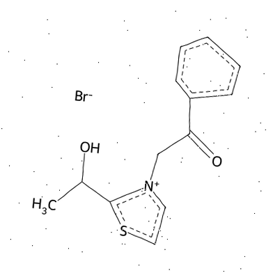 CC(O)c1scc[n+]1CC(=O)c1ccccc1.[Br-]